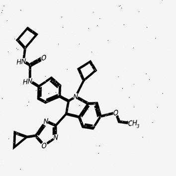 CCOc1ccc2c(c1)N(C1CCC1)C(c1ccc(NC(=O)NC3CCC3)cc1)C2c1noc(C2CC2)n1